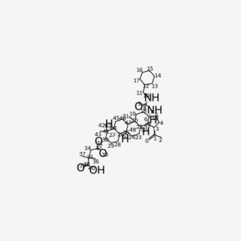 C=C(C)[C@@H]1CC[C@]2(NC(=O)NCC3CCCCC3)CC[C@]3(C)[C@H](CC[C@@H]4[C@@]5(C)CC[C@H](OC(=O)CC(C)(C)C(=O)O)C(C)(C)[C@@H]5CC[C@]43C)[C@@H]12